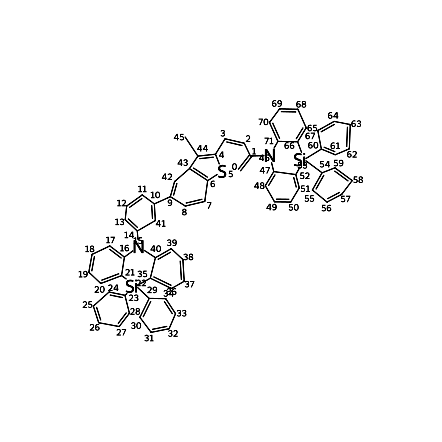 C=C(/C=C\c1sc2ccc(-c3cccc(N4c5ccccc5[Si](c5ccccc5)(c5ccccc5)c5ccccc54)c3)cc2c1C)N1c2ccccc2[Si](c2ccccc2)(c2ccccc2)c2ccccc21